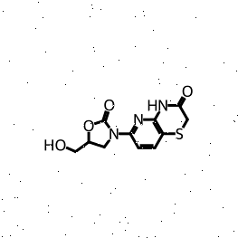 O=C1CSc2ccc(N3CC(CO)OC3=O)nc2N1